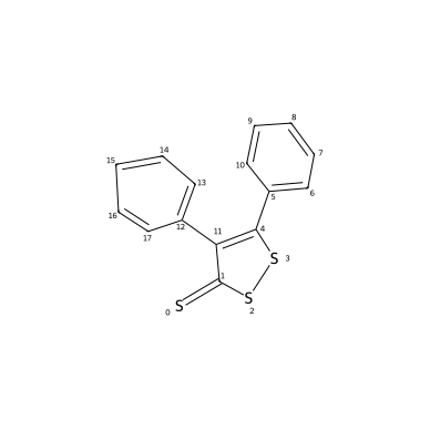 S=c1ssc(-c2ccccc2)c1-c1ccccc1